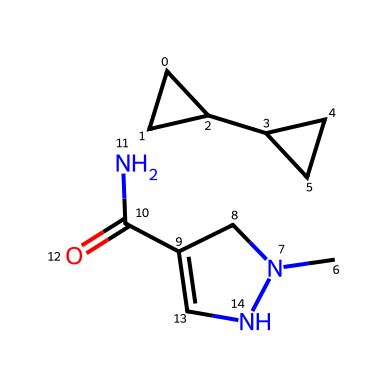 C1CC1C1CC1.CN1CC(C(N)=O)=CN1